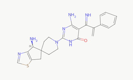 C=C(C(=N)c1c(N)nc(N2CCC3(CC2)Cc2scnc2[C@H]3N)[nH]c1=O)c1ccccc1